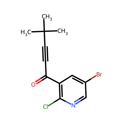 CC(C)(C)C#CC(=O)c1cc(Br)cnc1Cl